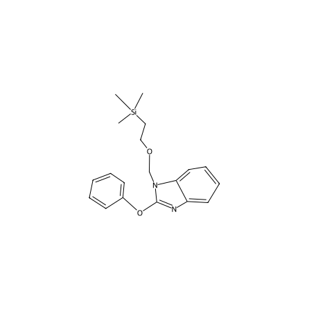 C[Si](C)(C)CCOCn1c(Oc2ccccc2)nc2ccccc21